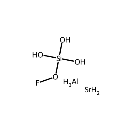 O[Si](O)(O)OF.[AlH3].[SrH2]